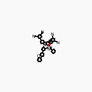 N#Cc1cc(C#N)cc(-c2ccc3c(c2)c2cc(-c4cc(C#N)cc(C#N)c4)ccc2n3-c2ccc(-c3ccc4c(c3)oc3ccccc34)cc2-c2nc(-c3ccccc3)nc(-c3ccccc3)n2)c1